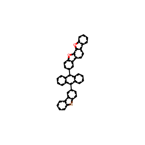 c1ccc2c(c1)oc1c2ccc2c3cc(-c4c5ccccc5c(-c5ccc6sc7ccccc7c6c5)c5ccccc45)ccc3oc21